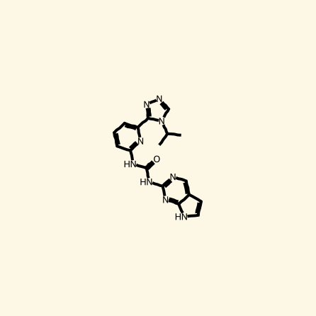 CC(C)n1cnnc1-c1cccc(NC(=O)Nc2ncc3cc[nH]c3n2)n1